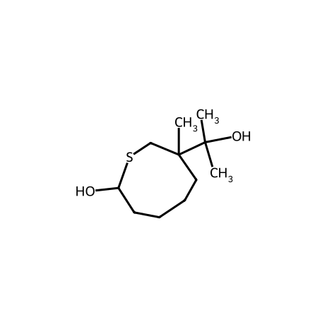 CC(C)(O)C1(C)CCCCC(O)SC1